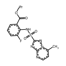 Cc1ccnc2nc(S(=O)(=O)Nc3c(F)cccc3C(=O)OC(C)C)nn12